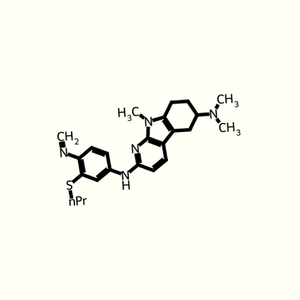 C=Nc1ccc(Nc2ccc3c4c(n(C)c3n2)CCC(N(C)C)C4)cc1SCCC